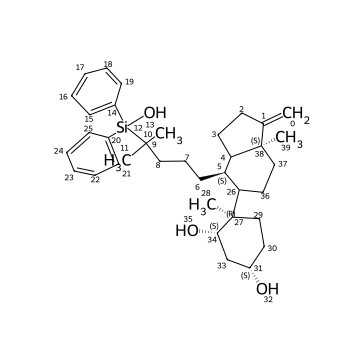 C=C1CCC2[C@H](CCCC(C)(C)[Si](O)(c3ccccc3)c3ccccc3)C([C@@]3(C)CC[C@H](O)C[C@@H]3O)CC[C@]12C